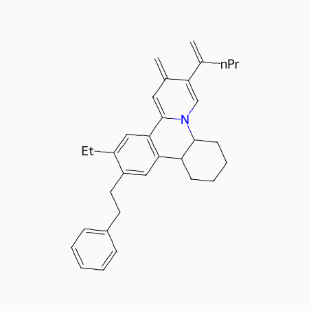 C=C1C=C2c3cc(CC)c(CCc4ccccc4)cc3C3CCCCC3N2C=C1C(=C)CCC